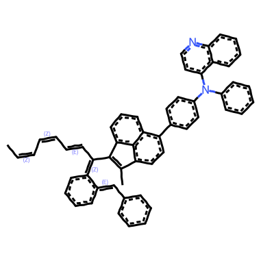 C\C=C/C=C\C=C\C(C1=C(C)c2ccc(-c3ccc(N(c4ccccc4)c4ccnc5ccccc45)cc3)c3cccc1c23)=c1/cccc/c1=C\c1ccccc1